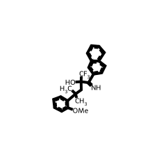 COc1ccccc1C(C)(C)CC(O)(C(=N)c1ccc2ccccc2c1)C(F)(F)F